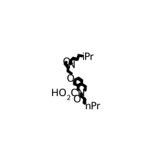 CCCC=CC(=O)N1CCc2ccc(OCCc3coc(C=CCC(C)C)n3)cc2C1C(=O)O